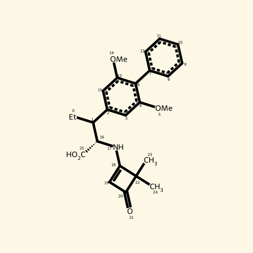 CCC(c1cc(OC)c(-c2ccccc2)c(OC)c1)[C@H](NC1=CC(=O)C1(C)C)C(=O)O